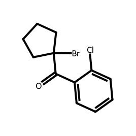 O=C(c1ccccc1Cl)C1(Br)CCCC1